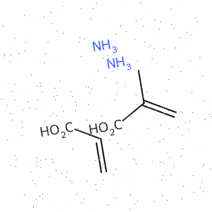 C=C(C)C(=O)O.C=CC(=O)O.N.N